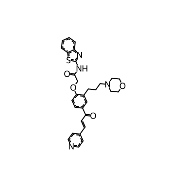 O=C(COc1ccc(C(=O)C=Cc2ccncc2)cc1CCCN1CCOCC1)Nc1nc2ccccc2s1